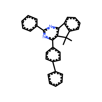 CC1(C)c2ccccc2-c2nc(-c3ccccc3)nc(-c3ccc(-c4ccccc4)cc3)c21